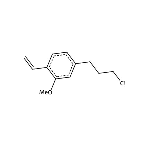 C=Cc1ccc(CCCCl)cc1OC